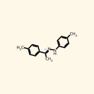 C/C(=N\Nc1ccc(C)cc1)c1ccc(C)cc1